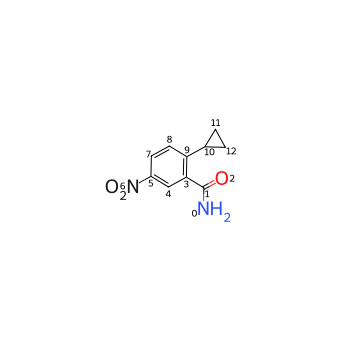 NC(=O)c1cc([N+](=O)[O-])ccc1C1CC1